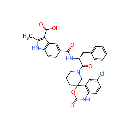 Cc1[nH]c2ccc(C(=O)N[C@@H](Cc3ccccc3)C(=O)N3CCC[C@@]4(C3)OC(=O)Nc3ccc(Cl)cc34)cc2c1C(=O)O